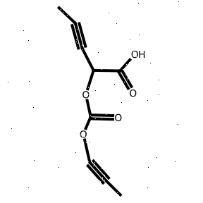 CC#COC(=O)OC(C#CC)C(=O)O